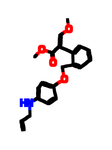 C=CCNc1ccc(OCc2ccccc2/C(=C\OC)C(=O)OC)cc1